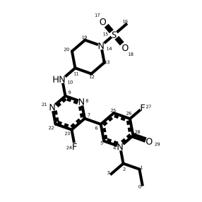 CCC(C)n1cc(-c2nc(NC3CCN(S(C)(=O)=O)CC3)ncc2F)cc(F)c1=O